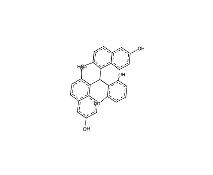 Oc1ccc2c(C(c3c(O)cccc3O)c3c(O)ccc4cc(O)ccc34)c(O)ccc2c1